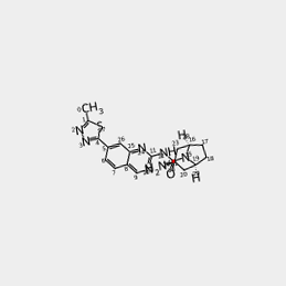 Cc1nnc(-c2ccc3cnc(NC(=O)N4[C@@H]5CC[C@H]4C[C@@H](N)C5)nc3c2)s1